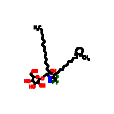 CCCCCCCCCCCCCCC[C@@H](O)[C@H](COC1OC(CO)C(O)C(O)C1O)NC(CCCCCCCCCC[C@H]1CCCC[C@@H]1C)C(F)(F)F